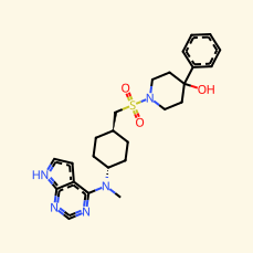 CN(c1ncnc2[nH]ccc12)[C@H]1CC[C@H](CS(=O)(=O)N2CCC(O)(c3ccccc3)CC2)CC1